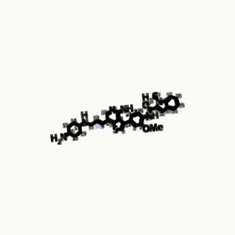 COc1cc(-c2csc3c(/C=C/CNC4CCC(N)CC4)cnc(N)c23)ccc1NC(=O)c1cc2ccccc2n1C